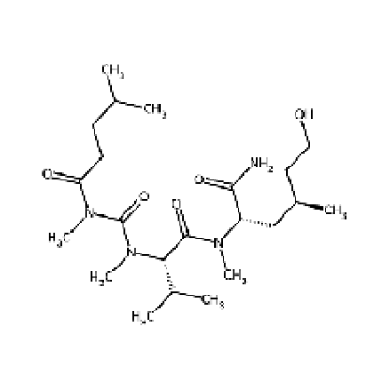 CC(C)CCC(=O)N(C)C(=O)N(C)[C@H](C(=O)N(C)[C@@H](C[C@H](C)CCO)C(N)=O)C(C)C